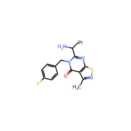 Cc1nsc2nc(C(N)C(C)C)n(Cc3ccc(F)cc3)c(=O)c12